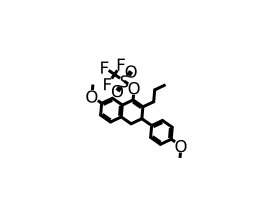 CCCC1=C(OS(=O)(=O)C(F)(F)F)c2cc(OC)ccc2CC1c1ccc(OC)cc1